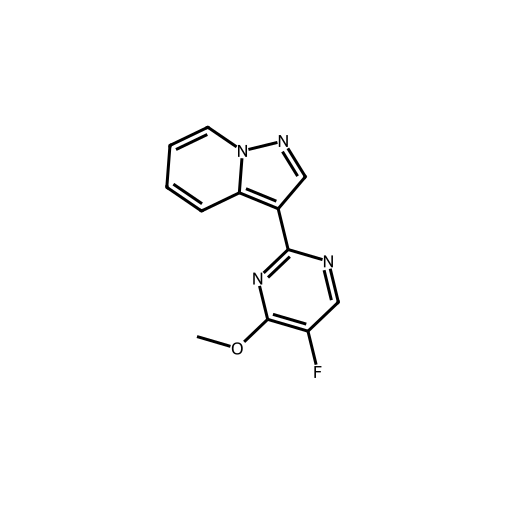 COc1nc(-c2cnn3ccccc23)ncc1F